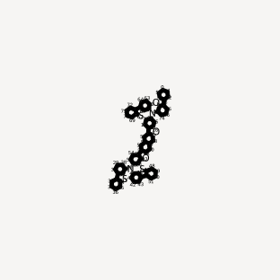 c1ccc2c(c1)oc1c(N(c3ccc4c(c3)oc3cc5cc6oc7cc(N(c8cccc9c8sc8ccccc89)c8cccc9c8sc8ccccc89)ccc7c6cc5cc34)c3cccc4c3sc3ccccc34)cccc12